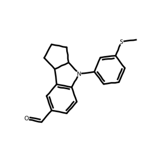 CSc1cccc(N2c3ccc(C=O)cc3C3CCCC32)c1